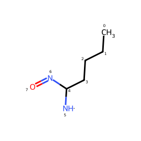 CCCCC([NH])N=O